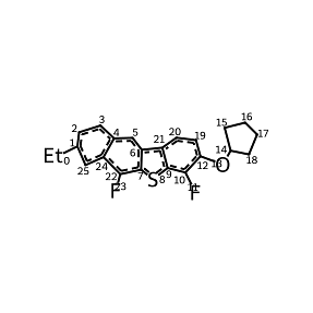 CCc1ccc2cc3c(sc4c(F)c(OC5CCCC5)ccc43)c(F)c2c1